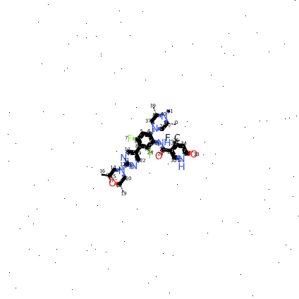 C[C@@H]1CN(c2cc(F)c(-c3cnc(N4C[C@H](C)O[C@@H](C)C4)nc3)c(F)c2NC(=O)c2c[nH]c(=O)cc2C(F)(F)F)C[C@H](C)N1C